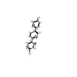 Cc1ccc(-c2ccc(-c3cnc(C)cn3)nc2)nc1